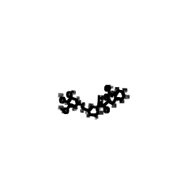 COc1cc(C=Cc2cccc(NC(=O)/C=C/c3ccccc3[N+](=O)[O-])c2)cc(OC)c1OC